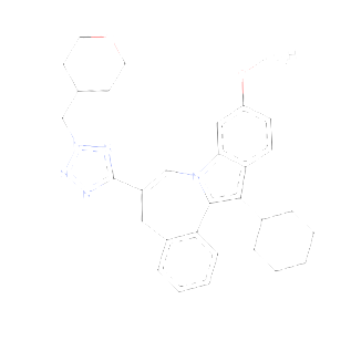 O=C(O)Oc1ccc2c(C3CCCCC3)c3n(c2c1)C=C(c1nnn(CC2CCOCC2)n1)Cc1ccccc1-3